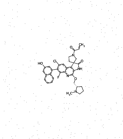 C=CC(=O)N1CCC2(C1)C(=O)Nc1c(OC[C@@H]3CCCN3C)nc3c(F)c(-c4cc(O)cc5ccccc45)c(Cl)cc3c12